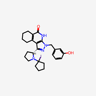 O=c1[nH]c2c(c([C@H]3CCCN3C3(I)CCCC3)nn2Cc2cccc(O)c2)c2c1CCCC2